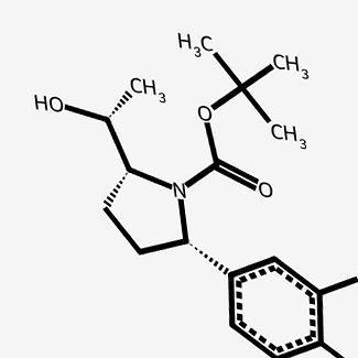 C[C@@H](O)[C@H]1CC[C@@H](c2ccc(F)c(F)c2)N1C(=O)OC(C)(C)C